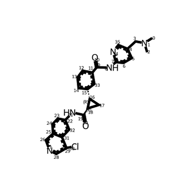 CN(C)Cc1ccc(NC(=O)c2cccc([C@@H]3C[C@H]3C(=O)Nc3ccc4cncc(Cl)c4c3)c2)nc1